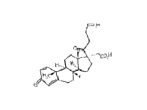 C[C@]12C=CC(=O)C=C1CC[C@@H]1[C@@H]2CC[C@@]2(C)[C@H]1CC[C@]2(CC(=O)O)C(=O)CCC(=O)O